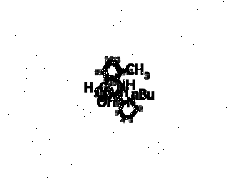 CCCCN1CCCCC1C(=O)Nc1c(C)cccc1C.O=C(O)O